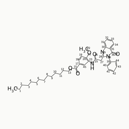 CCCCCCCCCCCCCCOC(=O)c1ccc(OC)c(NC(=O)Cc2nc3ccccc3c(=O)n2-c2ccccc2)c1